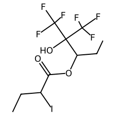 CCC(I)C(=O)OC(CC)C(O)(C(F)(F)F)C(F)(F)F